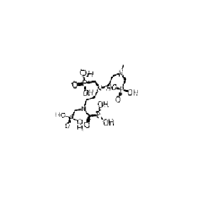 CN(CCN(CCN(CP(=O)(O)O)C(=O)P(O)O)CP(=O)(O)O)CP(=O)(O)O